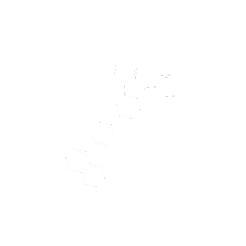 c1ccc(-n2c3ccccc3c3cc(-c4ccc(-c5cccc6ccccc56)cc4)ccc32)cc1